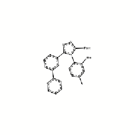 CCCC(C)c1nnc(-c2cccc(-c3ccccc3)c2)n1-c1ccc(C)cc1C(C)(C)C